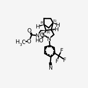 COC(=O)NC[C@@]12[C@@H]3CC[C@@H](C3)[C@@H]1CN(c1ccc(C#N)c(C(F)(F)F)c1)S2(=O)=O